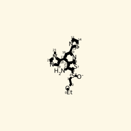 CCOCC[S+]([O-])c1sc2nc(-c3nccs3)cc(-c3cncn3C)c2c1N